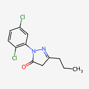 CCCC1=NN(c2cc(Cl)ccc2Cl)C(=O)C1